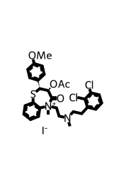 COc1ccc([C@H]2Sc3ccccc3[N+](C)(CCN(C)CCc3cccc(Cl)c3Cl)C(=O)[C@H]2OC(C)=O)cc1.[I-]